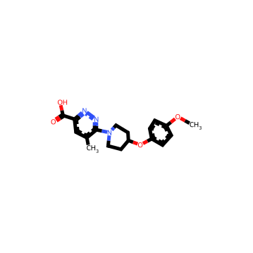 COc1ccc(OC2CCN(c3nnc(C(=O)O)cc3C)CC2)cc1